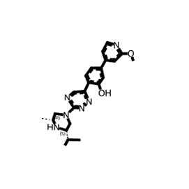 COc1cc(-c2ccc(-c3cnc(N4C[C@@H](C)N[C@@H](C(C)C)C4)nn3)c(O)c2)ccn1